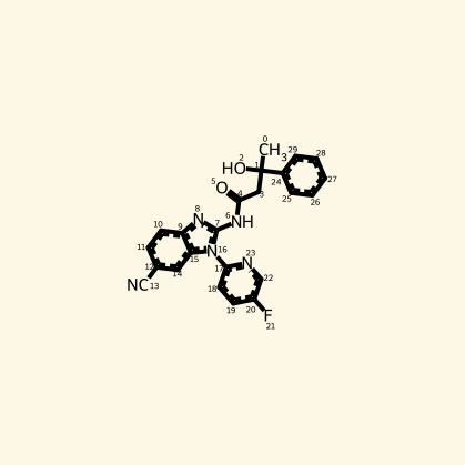 CC(O)(CC(=O)Nc1nc2ccc(C#N)cc2n1-c1ccc(F)cn1)c1ccccc1